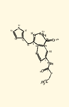 CCC(=O)Nc1ccc2c(Cc3ccsc3)n[nH]c(=O)c2c1